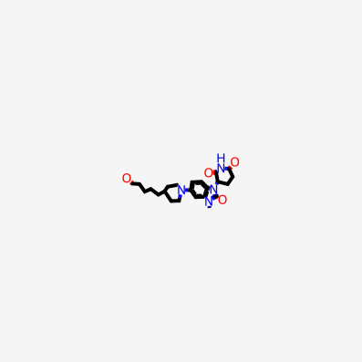 Cn1c(=O)n(C2CCC(=O)NC2=O)c2ccc(N3CCC(CCCCC=O)CC3)cc21